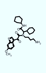 COc1ccc2c(C(=O)C(=O)N(CCCCN)C(C(=O)NC3CCCCC3)C3CCCCC3)csc2c1